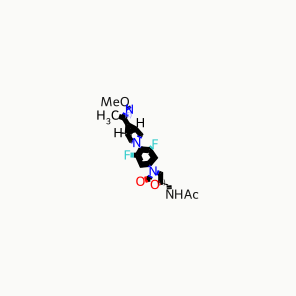 CO/N=C(\C)C1[C@H]2CN(c3c(F)cc(N4C[C@H](CNC(C)=O)OC4=O)cc3F)C[C@@H]12